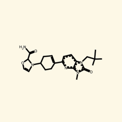 Cn1c(=O)n(CC(C)(C)C)c2ccc(C3=CCC(N4C=COC4C(N)=O)CC3)nc21